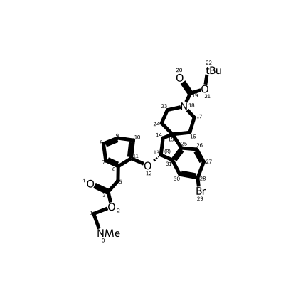 CNCOC(=O)Cc1ccccc1O[C@@H]1CC2(CCN(C(=O)OC(C)(C)C)CC2)c2ccc(Br)cc21